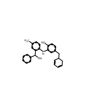 Cc1ccc(Pc2cc(CC3C=CC=CC3)ccc2O)c(C(O)c2ccccc2)c1